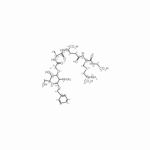 CC(=O)NC1C(O[C@H](C)C(=O)N[C@@H](C)C(=O)N[C@H](CCC(=O)N[C@H](CSC[C@H](N)C(=O)O)C(=O)NCC(=O)O)C(=O)O)[C@H](O)C(CO)O[C@@H]1OCc1ccccc1